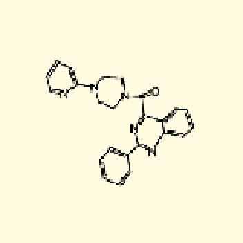 O=C(c1nc(-c2ccccc2)nc2ccccc12)N1CCN(c2ccccn2)CC1